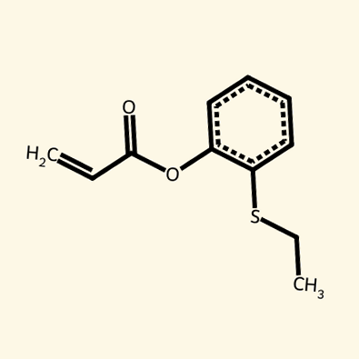 C=CC(=O)Oc1ccccc1SCC